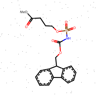 COC(=O)CCCOS(=O)(=O)NC(=O)OCC1c2ccccc2-c2ccccc21